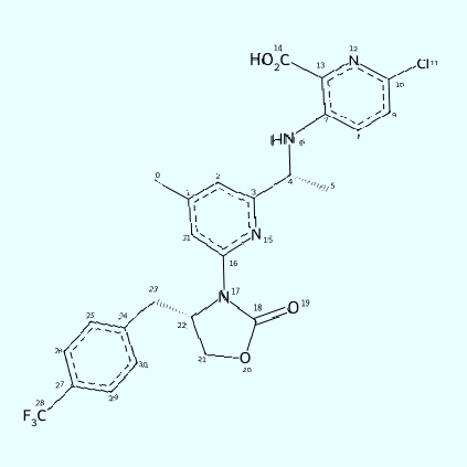 Cc1cc([C@@H](C)Nc2ccc(Cl)nc2C(=O)O)nc(N2C(=O)OC[C@@H]2Cc2ccc(C(F)(F)F)cc2)c1